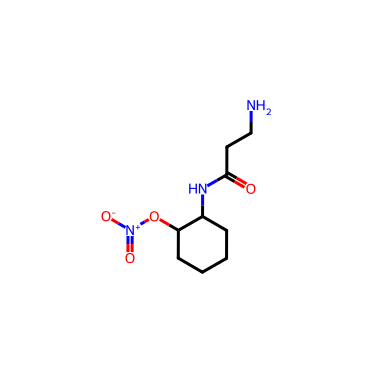 NCCC(=O)NC1CCCCC1O[N+](=O)[O-]